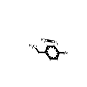 C=C.CCc1ccc(Br)cc1